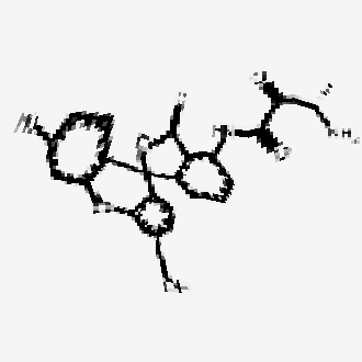 C[C@H](N)C(=O)C(=O)Nc1cccc2c1C(=O)OC21c2ccc(O)cc2Oc2cc(O)ccc21